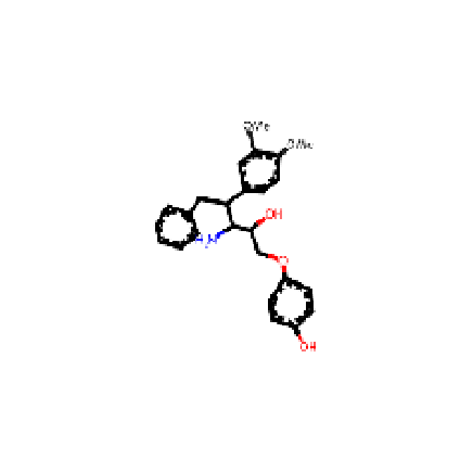 COc1ccc(C(Cc2ccccc2)C(N)C(O)COc2ccc(O)cc2)cc1OC